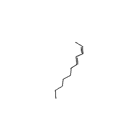 C/[C]=C\C=C\CCCCCC